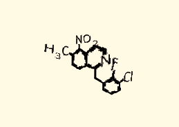 Cc1ccc2c(Cc3cccc(Cl)c3F)nccc2c1[N+](=O)[O-]